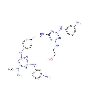 CN(C)c1nc(Nc2ccc(CCNc3nc(NCCO)nc(Nc4cccc(N)c4)n3)cc2)nc(Nc2cccc(N)c2)n1